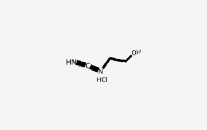 Cl.N=C=NCCO